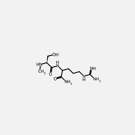 CN[C@@H](CO)C(=O)NC(CCCNC(=N)N)C(N)=O